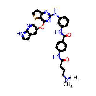 CN(C)C/C=C/C(=O)Nc1ccc(C(=O)Nc2cccc(Nc3nc(Oc4cnc5[nH]ccc5c4)c4sccc4n3)c2)cc1